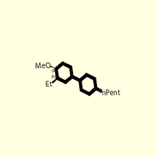 CCCCCC1CCC(C2CC[C@@H](OC)[C@H](CC)C2)CC1